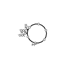 N[C@@]1(C(=O)[O-])OCCOCCOCCOCCOCCO[C@]1(N)C(=O)[O-].[Pt+2]